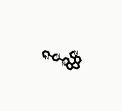 c1ccc(-c2ccc(-c3ccc4c(ccc5ccc6ccc7ncccc7c6c54)n3)nc2)nc1